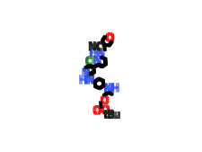 CC(COCC(=O)OC(C)(C)C)NC1CCC(Nc2cc(-c3cccc(NCC4(C#N)CCOCC4)n3)c(Cl)cn2)CC1